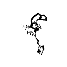 Nc1c(NCCn2ccnc2)nn2c3c(ccc12)CCC3